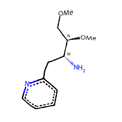 COC[C@@H](OC)[C@H](N)Cc1ccccn1